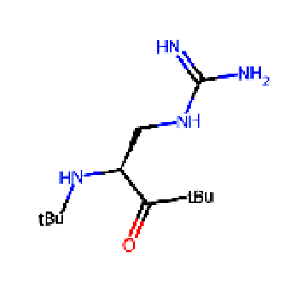 CC(C)(C)N[C@@H](CNC(=N)N)C(=O)C(C)(C)C